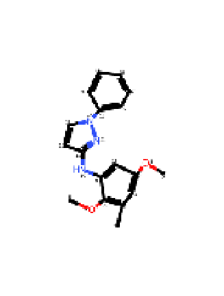 COc1[c]c(C)c(OC)c(Nc2ccn(-c3ccccc3)n2)c1